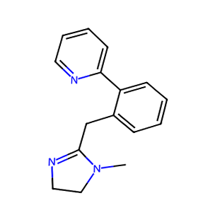 CN1CCN=C1Cc1ccccc1-c1ccccn1